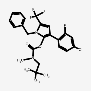 CN(CC(C)(C)C)C(=O)Oc1c(-c2ccc(Cl)cc2F)cc(C(F)(F)F)n1Cc1ccccc1